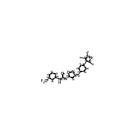 Cc1nn(C)c(C)c1-c1ccc(C[n+]2cc([N-]C(=O)Nc3cccc(C(F)(F)F)c3)on2)cc1